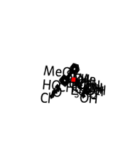 C=CC(=O)O.C=CC(=O)O.C=CC(=O)O.CC(O)OCCCl.CCC(CO)(CO)CO.CO[Si](OC)(c1ccccc1)c1ccccc1